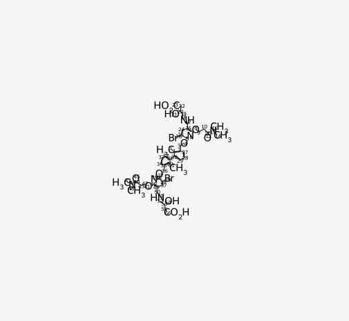 Cc1c(COc2nc(OCCC(=O)N(C)C)c(CNCC(O)CC(=O)O)cc2Br)cccc1-c1cccc(COc2nc(OCCC(=O)N(C)C)c(CNCC(O)CC(=O)O)cc2Br)c1C